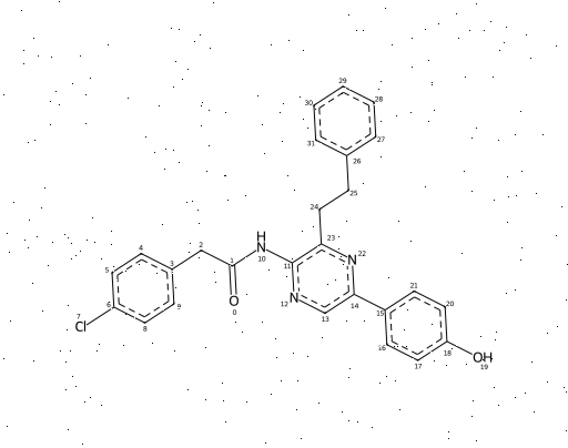 O=C(Cc1ccc(Cl)cc1)Nc1ncc(-c2ccc(O)cc2)nc1CCc1ccccc1